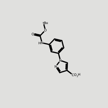 CC(C)(C)OC(=O)Nc1cccc(-n2cc(C(=O)O)cn2)c1